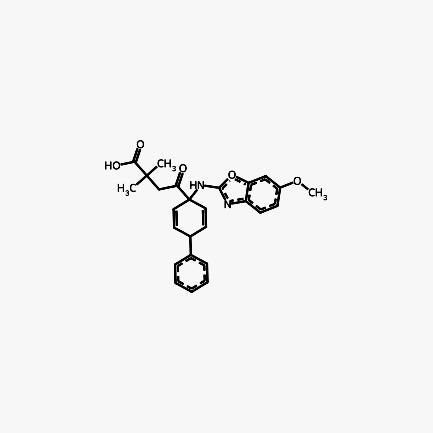 COc1ccc2nc(NC3(C(=O)CC(C)(C)C(=O)O)C=CC(c4ccccc4)C=C3)oc2c1